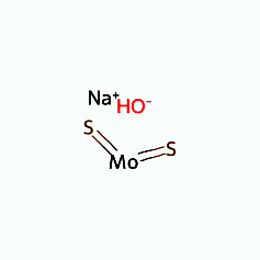 [Na+].[OH-].[S]=[Mo]=[S]